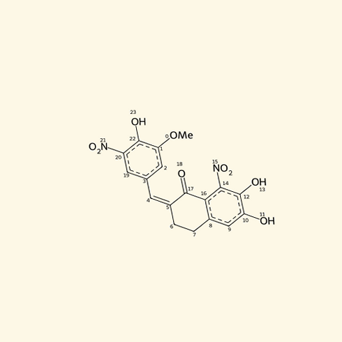 COc1cc(C=C2CCc3cc(O)c(O)c([N+](=O)[O-])c3C2=O)cc([N+](=O)[O-])c1O